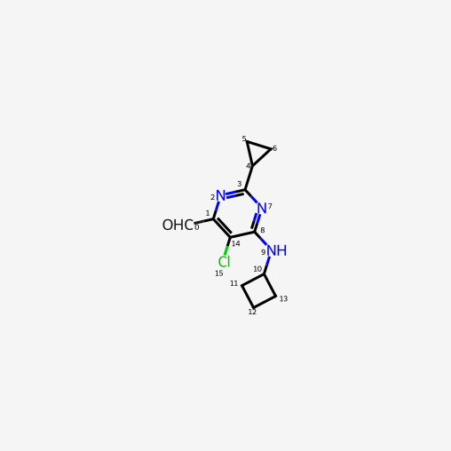 O=Cc1nc(C2CC2)nc(NC2CCC2)c1Cl